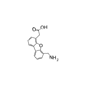 NCc1cccc2c1oc1c(CC(=O)O)cccc12